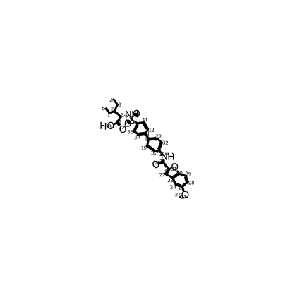 CCC(CC)[C@H](NS(=O)(=O)c1ccc(-c2ccc(NC(=O)c3cc4cc(OC)ccc4o3)cc2)cc1)C(=O)O